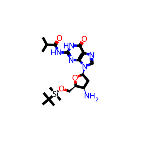 CC(C)C(=O)Nc1nc2c(ncn2[C@H]2C[C@H](N)[C@@H](CO[Si](C)(C)C(C)(C)C)O2)c(=O)[nH]1